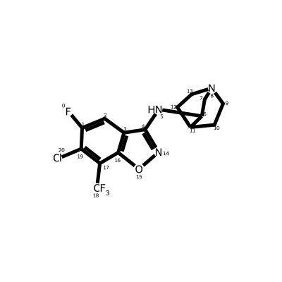 Fc1cc2c(NC3CN4CCC3CC4)noc2c(C(F)(F)F)c1Cl